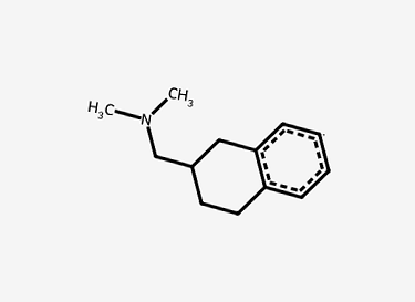 CN(C)CC1CCc2cc[c]cc2C1